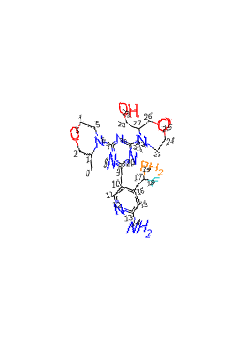 CC1COCCN1c1nc(-c2cnc(N)cc2C(F)P)nc(N2CCOCC2CO)n1